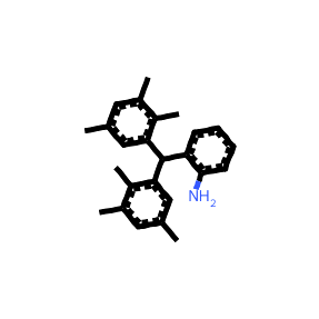 Cc1cc(C)c(C)c(C(c2ccccc2N)c2cc(C)cc(C)c2C)c1